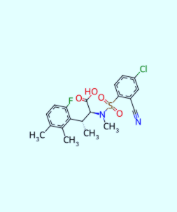 Cc1ccc(F)c([C@@H](C)[C@@H](C(=O)O)N(C)S(=O)(=O)c2ccc(Cl)cc2C#N)c1C